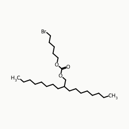 CCCCCCCCC(CCCCCCCC)COC(=O)OCCCCCBr